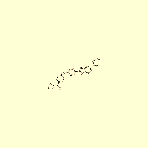 CC(C)(C)OC(=O)c1ccc2oc(-c3ccc(C4CC45CCN(C(=O)C4CCCO4)CC5)cc3)nc2c1